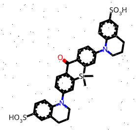 C[Si]1(C)c2cc(N3CCCc4cc(S(=O)(=O)O)ccc43)ccc2C(=O)c2ccc(N3CCCc4cc(S(=O)(=O)O)ccc43)cc21